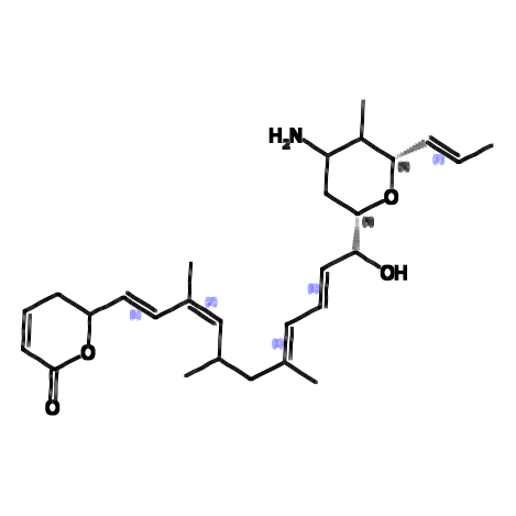 C/C=C/[C@@H]1O[C@H](C(O)/C=C/C=C(\C)CC(C)/C=C(C)\C=C\C2CC=CC(=O)O2)CC(N)C1C